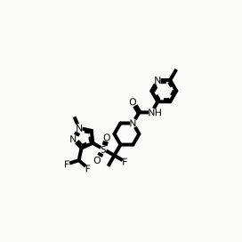 Cc1ccc(NC(=O)N2CCC(C(C)(F)S(=O)(=O)c3cn(C)nc3C(F)F)CC2)cn1